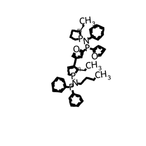 CCCCN(P(c1ccccc1)c1ccccc1)P1CC=C(c2coc(P(c3ccco3)N(c3ccccc3)P3CCC[C@H]3CC)c2)[C@H]1CC